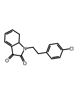 O=C1C(=O)N(CCc2ccc(Cl)cc2)C2CC=CC=C12